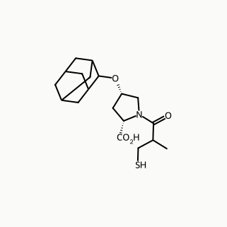 CC(CS)C(=O)N1C[C@@H](OC2C3CC4CC(C3)CC2C4)C[C@H]1C(=O)O